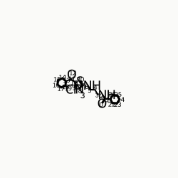 O=C(NCCCNc1ncc(C(=O)c2ccccc2C(F)(F)F)s1)c1ccccc1